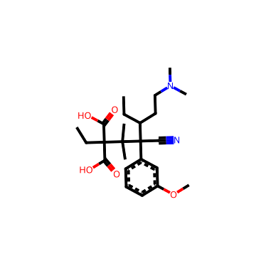 CCC(CCN(C)C)C(C#N)(c1cccc(OC)c1)C(C)(C)C(CC)(C(=O)O)C(=O)O